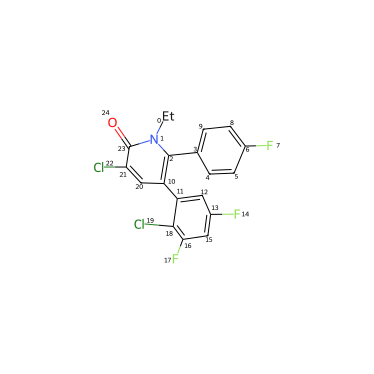 CCn1c(-c2ccc(F)cc2)c(-c2cc(F)cc(F)c2Cl)cc(Cl)c1=O